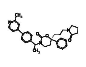 Cc1cc(-c2ccc([C@H](C)N3CC[C@](CCCN4CCCC4=O)(c4ccccc4)OC3=O)cc2)ccn1